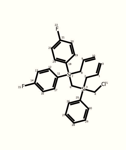 C=CC[Si](CCl)(C[Si](CC=C)(c1ccc(F)cc1)c1ccc(F)cc1)c1ccccc1